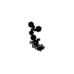 CCc1cc(C(=O)OC(=O)C(F)(F)F)c(=O)[nH]c1-c1ccc(N2CCC(CN(Cc3ccccc3)Cc3ccccc3)C2)cc1